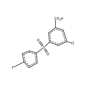 O=C(O)c1cc(Cl)cc(S(=O)(=O)c2ccc(F)cc2)c1